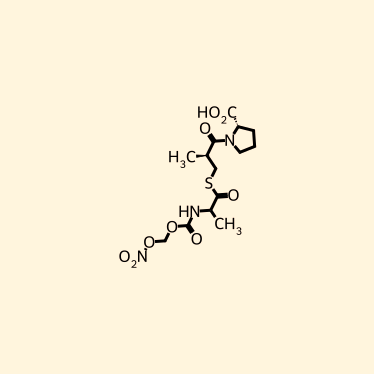 CC(NC(=O)OCO[N+](=O)[O-])C(=O)SC[C@@H](C)C(=O)N1CCC[C@H]1C(=O)O